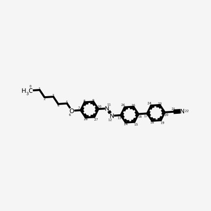 CCCCCCOc1ccc(N=Nc2ccc(-c3ccc(C#N)cc3)cc2)cc1